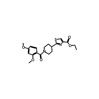 CCOC(=O)c1csc(C2CCN(C(=O)c3ccc(OC)cc3OC)CC2)n1